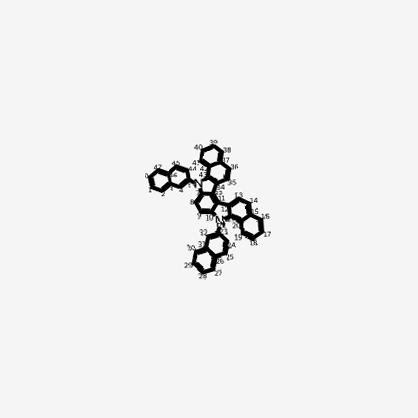 c1ccc2cc(-n3c4ccc5c(c6ccc7ccccc7c6n5-c5ccc6ccccc6c5)c4c4ccc5ccccc5c43)ccc2c1